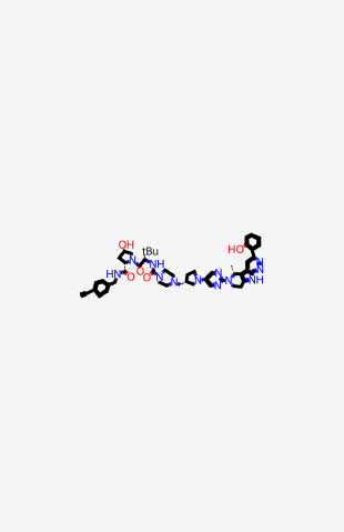 C#Cc1ccc(CNC(=O)[C@@H]2C[C@@H](O)CN2C(=O)[C@@H](NC(=O)N2CCN(C[C@@H]3CCN(c4cnc(N5CCc6[nH]c7nnc(-c8ccccc8O)cc7c6[C@H]5C)nc4)C3)CC2)C(C)(C)C)cc1